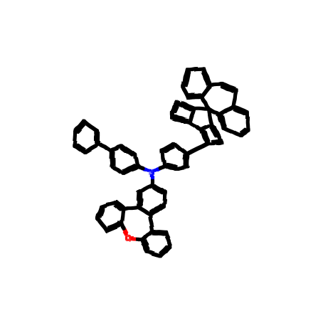 C1=Cc2ccccc2C2(c3ccccc31)c1ccccc1-c1c(-c3ccc(N(c4ccc(-c5ccccc5)cc4)c4ccc5c(c4)-c4ccccc4Oc4ccccc4-5)cc3)cccc12